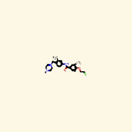 CN1CCN(Cc2ccc(NC(=O)c3ccc(OCCCl)c([N+](=O)[O-])c3)cc2C(F)(F)F)CC1